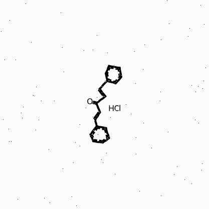 Cl.O=C(C=Cc1ccccc1)C=Cc1ccccc1